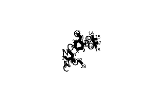 [C-]#[N+]c1cnc(Oc2ccc(B3OC(C)(C)C(C)(C)O3)c(C=O)c2)cc1OCC